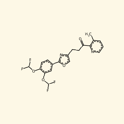 Cc1cccnc1C(=O)CCc1coc(-c2ccc(OC(F)F)c(OC(F)F)c2)n1